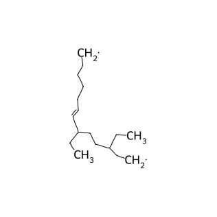 [CH2]CCCC/C=C/C(CC)CCC(C[CH2])CC